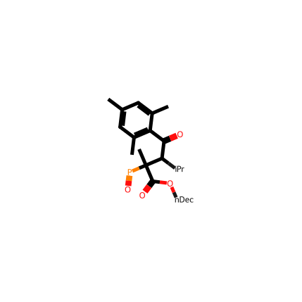 CCCCCCCCCCOC(=O)C(C)(P=O)C(C(=O)c1c(C)cc(C)cc1C)C(C)C